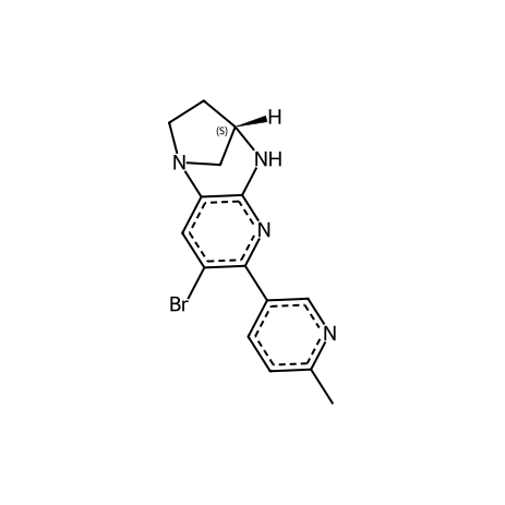 Cc1ccc(-c2nc3c(cc2Br)N2CC[C@@H](C2)N3)cn1